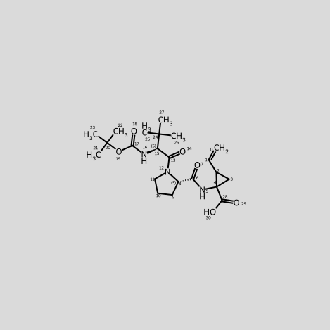 C=CC1CC1(NC(=O)[C@@H]1CCCN1C(=O)[C@@H](NC(=O)OC(C)(C)C)C(C)(C)C)C(=O)O